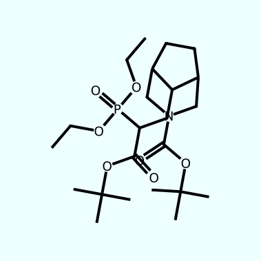 CCOP(=O)(OCC)C(CC1C2CCC1CN(C(=O)OC(C)(C)C)C2)C(=O)OC(C)(C)C